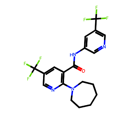 O=C(Nc1cncc(C(F)(F)F)c1)c1cc(C(F)(F)F)cnc1N1CCCCCC1